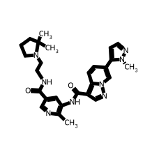 Cc1ncc(C(=O)NCCN2CCCC2(C)C)cc1NC(=O)c1cnn2cc(-c3ccnn3C)ccc12